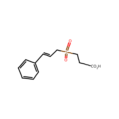 O=C(O)CCS(=O)(=O)CC=Cc1ccccc1